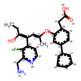 CC/C(O)=C(\C=C(/C)Oc1cc(-c2ccccc2)ccc1CC(=O)O)c1ccnc(CN)c1F